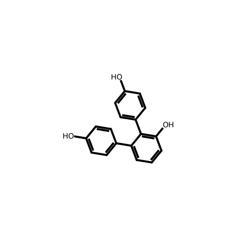 Oc1ccc(-c2cccc(O)c2-c2ccc(O)cc2)cc1